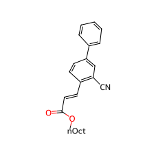 CCCCCCCCOC(=O)C=Cc1ccc(-c2ccccc2)cc1C#N